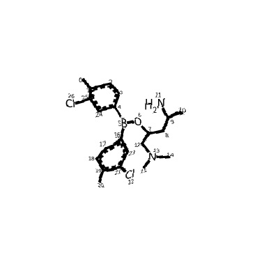 Cc1ccc(B(OC(CC(C)N)CN(C)C)c2ccc(C)c(Cl)c2)cc1Cl